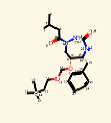 CC(C)CC(=O)N1C[C@@H](OCOCC[Si](C)(C)C)[C@@H](Cc2ccccc2)NC(=O)N1